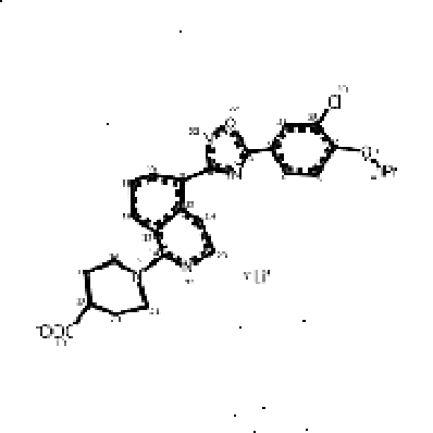 CC(C)Oc1ccc(-c2nc(-c3cccc4c(N5CCC(C(=O)[O-])CC5)nccc34)no2)cc1Cl.[Li+]